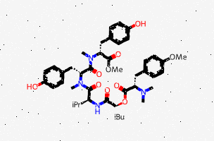 CC[C@H](C)[C@H](OC(=O)[C@H](Cc1ccc(OC)cc1)N(C)C)C(=O)N[C@H](C(=O)N(C)[C@H](Cc1ccc(O)cc1)C(=O)N(C)[C@H](Cc1ccc(O)cc1)C(=O)OC)C(C)C